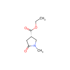 CCOC(=O)[C@H]1CC(=O)N(C)C1